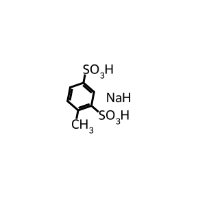 Cc1ccc(S(=O)(=O)O)cc1S(=O)(=O)O.[NaH]